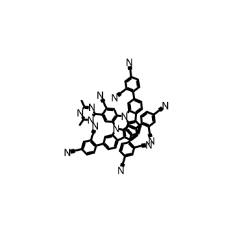 Cc1nc(C)nc(-c2cc(-n3c4cc(-c5ccc(C#N)cc5C#N)ccc4c4ccc(-c5ccc(C#N)cc5C#N)cc43)c(-n3c4cc(-c5ccc(C#N)cc5C#N)ccc4c4ccc(-c5ccc(C#N)cc5C#N)cc43)cc2C#N)n1